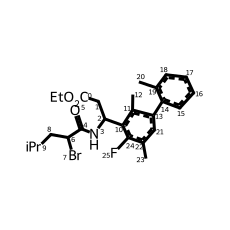 CCOC(=O)CC(NC(=O)C(Br)CC(C)C)c1c(C)c(-c2ccccc2C)cc(C)c1F